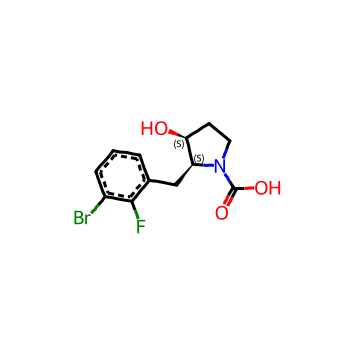 O=C(O)N1CC[C@H](O)[C@@H]1Cc1cccc(Br)c1F